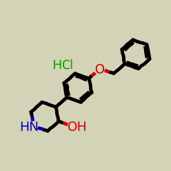 Cl.OC1CNCCC1c1ccc(OCc2ccccc2)cc1